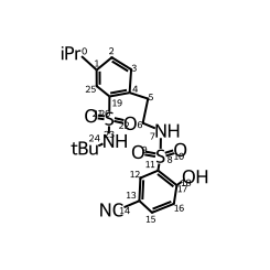 CC(C)c1ccc(CCNS(=O)(=O)c2cc(C#N)ccc2O)c(S(=O)(=O)NC(C)(C)C)c1